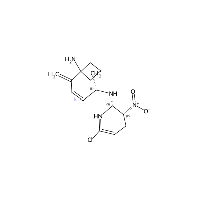 C=C(/C=C\[C@H](C)N[C@H]1NC(Cl)=CC[C@H]1[N+](=O)[O-])C1(N)CCC1